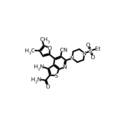 CCS(=O)(=O)N1CCN(c2nc3sc(C(N)=O)c(N)c3c(-c3cc(C)c(C)o3)c2C#N)CC1